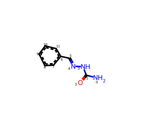 NC(=O)NN=Cc1cc[c]cc1